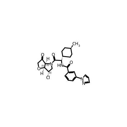 C[C@H]1CC[C@H](C(NC(=O)c2cccc(-n3cccn3)c2)C(=O)N2C[C@H](Cl)[C@H]3OCC(=O)[C@H]32)CC1